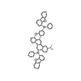 CC(C)c1ccc2c(N(c3ccccc3)c3cccc4c3oc3ccccc34)cc3c4cccc5c4c(cc3c2c1)-c1ccc(N(c2ccccc2)c2cccc3c2oc2ccccc23)cc1O5